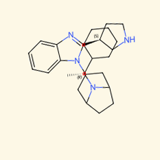 C[C@H](C1CCCCC1)N1C2CCC1CC(n1c([C@H]3CCNC3)nc3ccccc31)C2